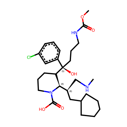 CNC[C@@H](CC1CCCCC1)[C@@H]1C([C@@](O)(CCCNC(=O)OC)c2cccc(Cl)c2)CCCN1C(=O)O